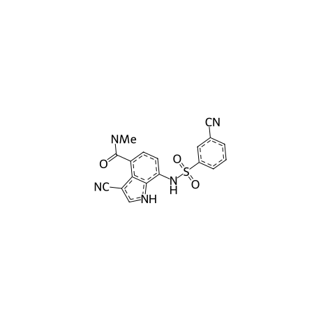 CNC(=O)c1ccc(NS(=O)(=O)c2cccc(C#N)c2)c2[nH]cc(C#N)c12